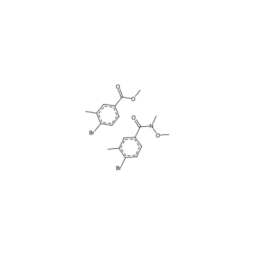 COC(=O)c1ccc(Br)c(C)c1.CON(C)C(=O)c1ccc(Br)c(C)c1